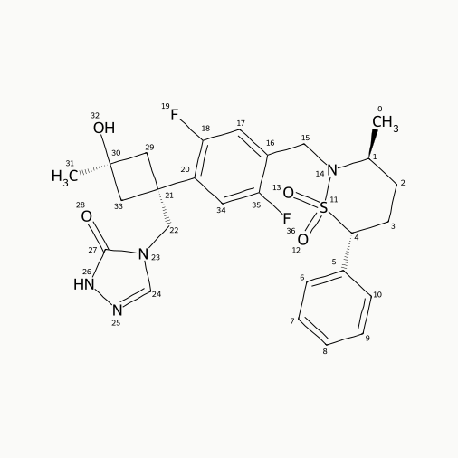 C[C@H]1CC[C@H](c2ccccc2)S(=O)(=O)N1Cc1cc(F)c([C@]2(Cn3cn[nH]c3=O)C[C@](C)(O)C2)cc1F